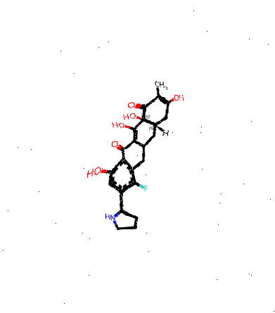 CC1=C(O)C[C@@H]2CC3Cc4c(F)c(C5CCCN5)cc(O)c4C(=O)C3=C(O)[C@]2(O)C1=O